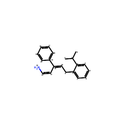 CC(C)c1ccccc1C/C=C(\C=C/N)c1ccccc1